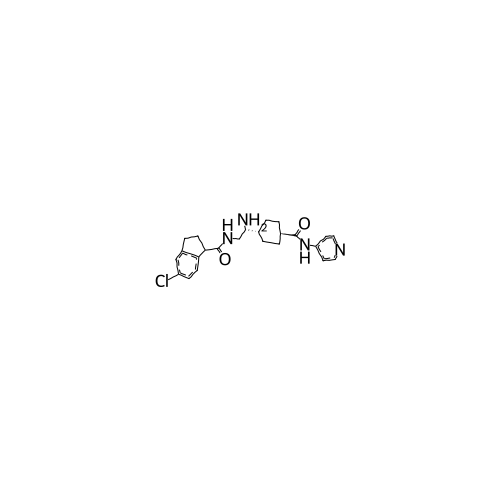 NC(CNC(=O)C1CCc2cc(Cl)ccc21)[C@H]1CC[C@H](C(=O)Nc2ccncc2)CC1